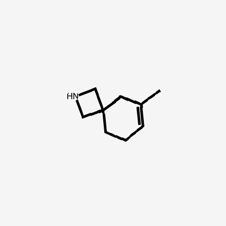 CC1=CCCC2(CNC2)C1